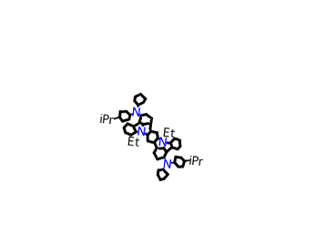 CCc1cccc2c3c(N(c4ccccc4)c4ccc(C(C)C)cc4)ccc4c5cc6c(cc5n(c12)c43)c1ccc(N(c2ccccc2)c2ccc(C(C)C)cc2)c2c3cccc(CC)c3n6c12